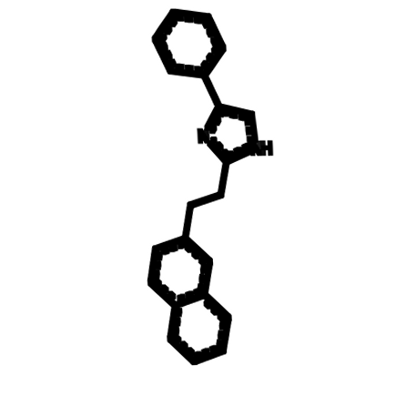 c1ccc(-c2c[nH]c(CCc3ccc4ccccc4c3)n2)cc1